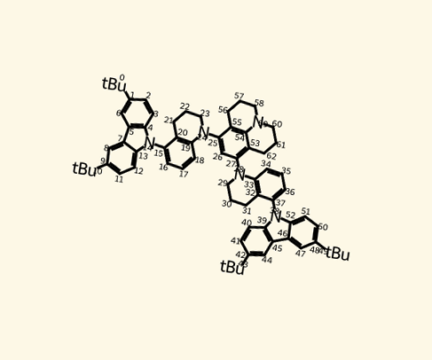 CC(C)(C)c1ccc2c(c1)c1cc(C(C)(C)C)ccc1n2-c1cccc2c1CCCN2c1cc(N2CCCc3c2cccc3-n2c3ccc(C(C)(C)C)cc3c3cc(C(C)(C)C)ccc32)c2c3c1CCCN3CCC2